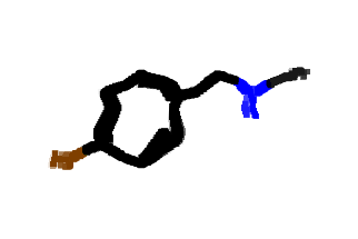 CC(C)NCc1ccc(S)cc1